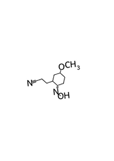 COC1CCC(=NO)C(CCC#N)C1